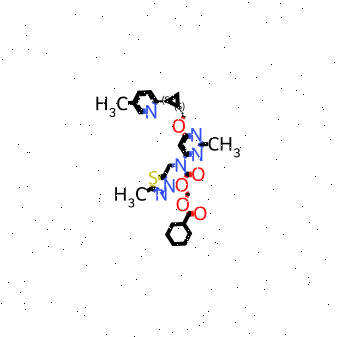 Cc1ccc([C@H]2C[C@@H]2COc2cc(N(Cc3nnc(C)s3)C(=O)OCOC(=O)C3CCCCC3)nc(C)n2)nc1